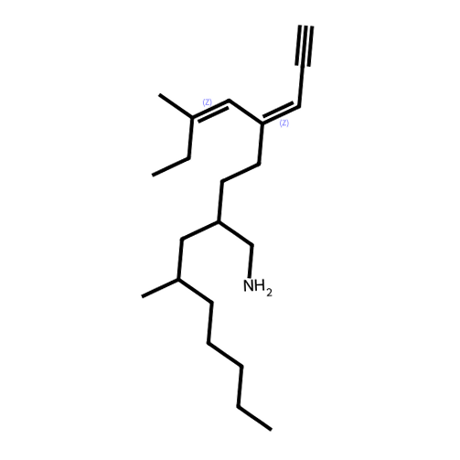 C#C/C=C(\C=C(\C)CC)CCC(CN)CC(C)CCCCC